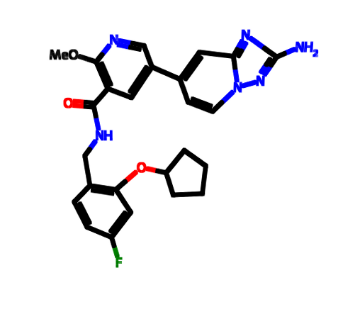 COc1ncc(-c2ccn3nc(N)nc3c2)cc1C(=O)NCc1ccc(F)cc1OC1CCCC1